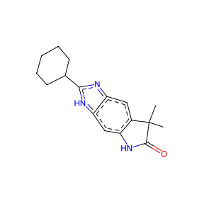 CC1(C)C(=O)Nc2cc3[nH]c(C4CCCCC4)nc3cc21